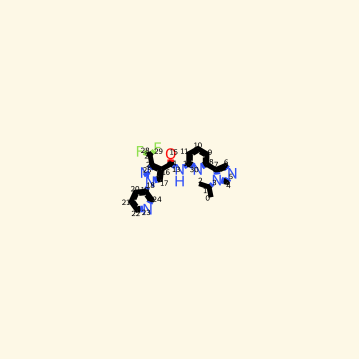 CC(C)n1cncc1-c1cccc(NC(=O)c2cn(-c3cccnc3)nc2C(F)F)n1